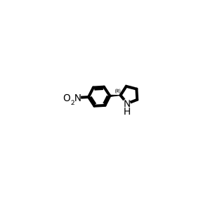 O=[N+]([O-])c1ccc([C@H]2CCCN2)cc1